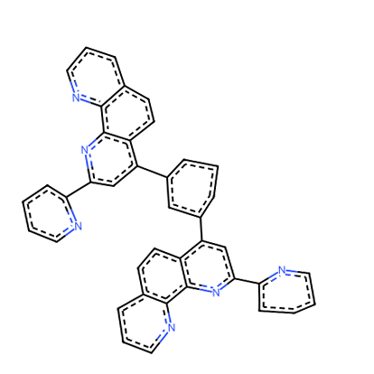 c1ccc(-c2cc(-c3cccc(-c4cc(-c5ccccn5)nc5c4ccc4cccnc45)c3)c3ccc4cccnc4c3n2)nc1